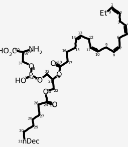 CC/C=C\C/C=C\C/C=C\C/C=C\C/C=C\CCCC(=O)OC(COC(=O)CCCCCCCCCCCCCCC)COP(O)OCC(N)C(=O)O